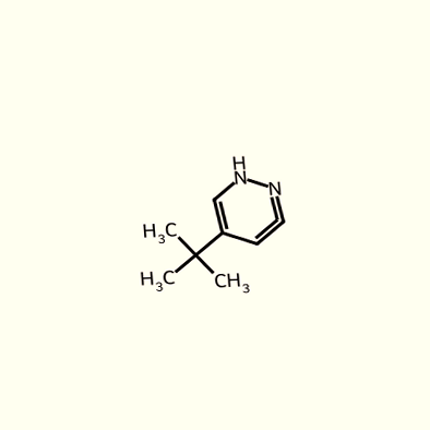 CC(C)(C)C1=CNN=C=C1